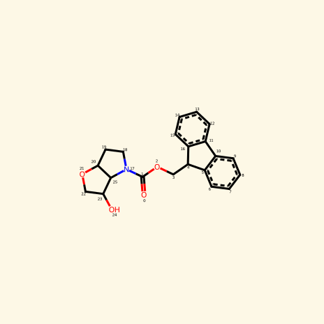 O=C(OCC1c2ccccc2-c2ccccc21)N1CCC2OCC(O)C21